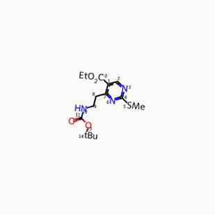 CCOC(=O)c1cnc(SC)nc1CCNC(=O)OC(C)(C)C